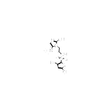 Cc1ncc([N+](=O)[O-])n1CCNS(=O)(=O)c1sc(Cl)cc1Br